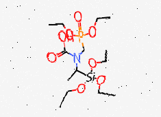 CCO[Si](OCC)(OCC)C(C)N(CP(=O)(OCC)OCC)C(=O)O